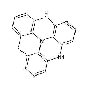 c1cc2c3c(c1)Nc1cccc4c1N3c1c(cccc1S4)N2